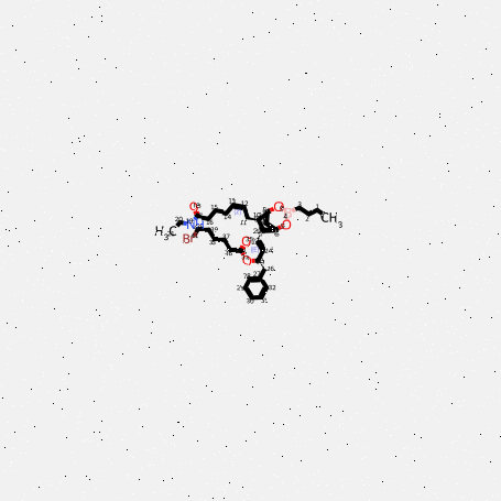 CCCCB1OC2CC(O1)[C@H](C/C=C\CCCC(=O)NCC)[C@H]2/C=C/[C@H](Cc1ccccc1)OC(=O)CCCCCBr